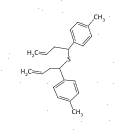 C=CCC(SC(CC=C)c1ccc(C)cc1)c1ccc(C)cc1